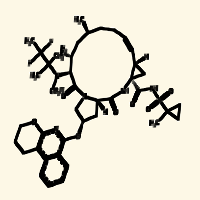 C[C@H]1CCC=C[C@@H]2C[C@@]2(C(=O)NS(=O)(=O)C2(C)CC2)NC(=O)[C@@H]2C[C@@H](Oc3nc4c(c5ccccc35)CCCO4)CN2C(=O)[C@@H](N(C(=O)O)C(C)(C)C(C)(F)F)[C@H](C)C1